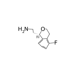 NCC[C@@H]1OCCc2c(F)cccc21